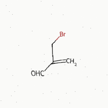 C=C(C=O)CBr